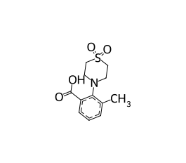 Cc1cccc(C(=O)O)c1N1CCS(=O)(=O)CC1